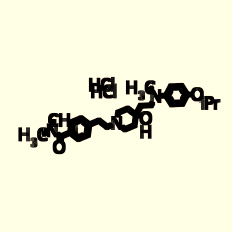 CC(C)Oc1ccc(N(C)CCC2(O)CCN(CCc3ccc(C(=O)N(C)C)cc3)CC2)cc1.Cl.Cl